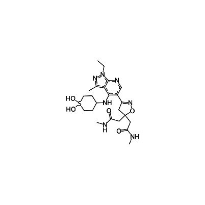 CCn1nc(C)c2c(NC3CCS(O)(O)CC3)c(C3=NOC(CC(=O)NC)(CC(=O)NC)C3)cnc21